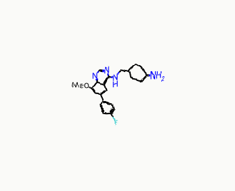 COc1cc(-c2ccc(F)cc2)cc2c(NCC3CCC(N)CC3)ncnc12